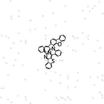 c1ccc(-c2nc(-c3ccccc3-n3c4ccccc4c4ccc5c6ccccc6oc5c43)c3sc4ccccc4c3n2)cc1